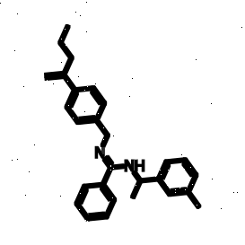 C=C(CCC)c1ccc(C/N=C(\NC(C)c2cccc(C)c2)c2ccccc2)cc1